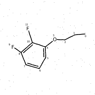 CCCOc1cccc(F)c1F